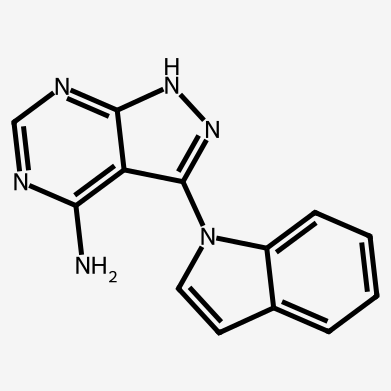 Nc1ncnc2[nH]nc(-n3ccc4ccccc43)c12